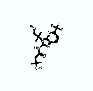 COCC(C)(C)n1c(NC(=O)CC(C)(C)O)nc2ccc(C(F)(F)F)nc21